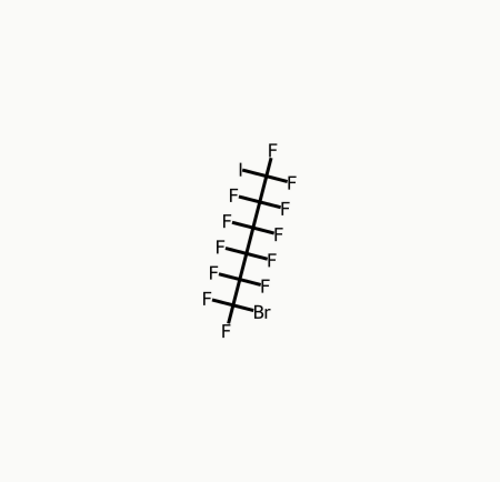 FC(F)(Br)C(F)(F)C(F)(F)C(F)(F)C(F)(F)C(F)(F)I